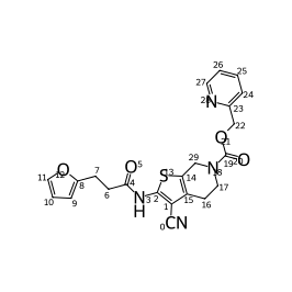 N#Cc1c(NC(=O)CCc2ccco2)sc2c1CCN(C(=O)OCc1ccccn1)C2